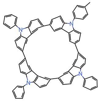 Cc1ccc(-n2c3ccc4cc3c3cc(ccc32)c2ccc3c(c2)c2cc(ccc2n3-c2ccccc2)c2ccc3c(c2)c2cc(ccc2n3-c2ccccc2)c2ccc3c(c2)c2cc4ccc2n3-c2ccccc2)cc1